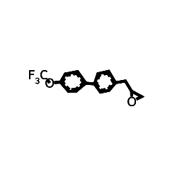 FC(F)(F)Oc1ccc(-c2ccc(CC3CO3)cc2)cc1